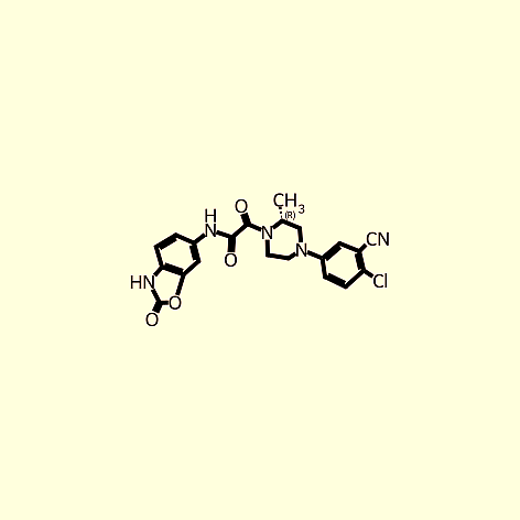 C[C@@H]1CN(c2ccc(Cl)c(C#N)c2)CCN1C(=O)C(=O)Nc1ccc2[nH]c(=O)oc2c1